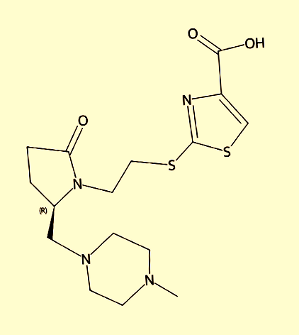 CN1CCN(C[C@H]2CCC(=O)N2CCSc2nc(C(=O)O)cs2)CC1